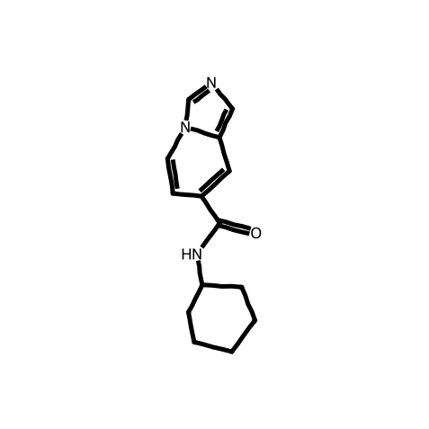 O=C(NC1CCCCC1)c1ccn2cncc2c1